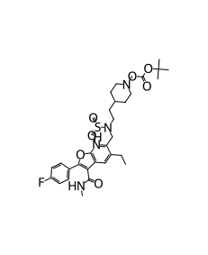 CCc1cc2c(C(=O)NC)c(-c3ccc(F)cc3)oc2nc1CN(CCC1CCN(OC(=O)OC(C)(C)C)CC1)[SH](=O)=O